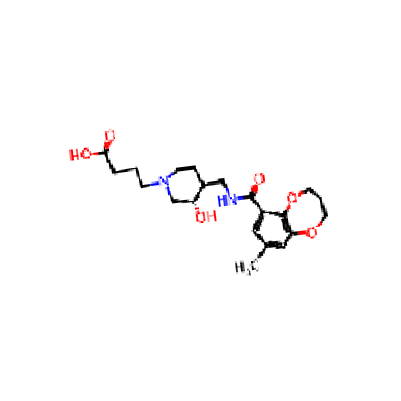 Cc1cc2c(c(C(=O)NC[C@@H]3CCN(CCCC(=O)O)C[C@H]3O)c1)OCCCO2